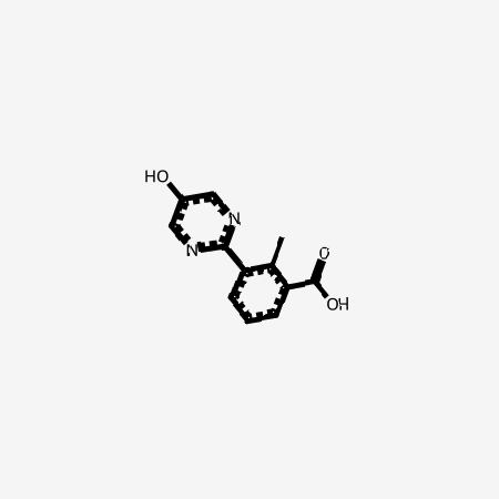 Cc1c(C(=O)O)cccc1-c1ncc(O)cn1